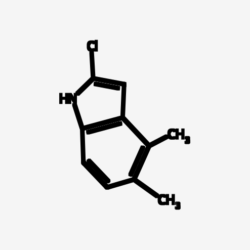 Cc1ccc2[nH]c(Cl)cc2c1C